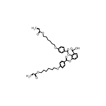 C=CC(=O)OCCCCCCOc1ccc(C(=O)Oc2cccc(C(=O)O)c2OC(=O)c2ccc(OCCCCCCOC(=O)C=C)cc2)cc1